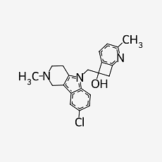 Cc1ccc2c(n1)CC2(O)Cn1c2c(c3cc(Cl)ccc31)CN(C)CC2